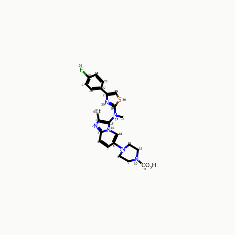 CCc1nc2ccc(N3CCN(C(=O)O)CC3)cn2c1N(C)c1nc(-c2ccc(F)cc2)cs1